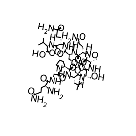 CC(C)C[C@H](NC(=O)[C@@H]1CCCN1C(=O)CNC(=O)[C@@H](N)CCC(N)=O)C(=O)N[C@@H](CO)C(=O)N[C@@H](CO)C(=O)N[C@@H](CCC(N)=O)C(=O)N[C@@H](CO)C(=O)N[C@@H](CCC(N)=O)C(=O)N[C@H](C(=O)O)C(C)C